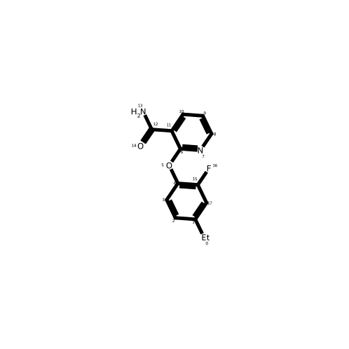 CCc1ccc(Oc2ncccc2C(N)=O)c(F)c1